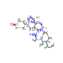 Cc1nc(N[C@H](C)c2cccc(C(F)F)c2F)c2cc(C3=CC[S+]([O-])CC3)c3nncn3c2n1